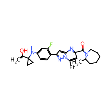 C=C(O)C1(Nc2ccc(-c3cc4nc(C(=O)N5CCCCCC5C)cc(CC)n4n3)c(F)c2)CC1